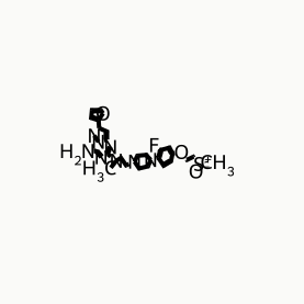 CN(CCN1CCN(c2ccc(OCC[S@+](C)[O-])cc2F)CC1)c1nc(N)n2nc(-c3ccco3)cc2n1